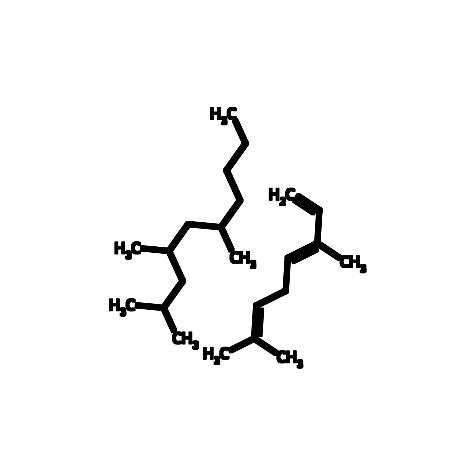 C=CC(C)=CCC=C(C)C.CCCCC(C)CC(C)CC(C)C